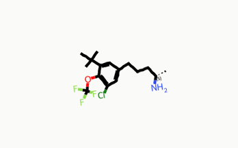 C[C@H](N)CCCc1cc(Cl)c(OC(F)(F)F)c(C(C)(C)C)c1